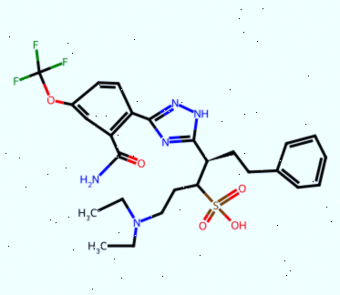 CCN(CC)CCC([C@H](CCc1ccccc1)c1nc(-c2ccc(OC(F)(F)F)cc2C(N)=O)n[nH]1)S(=O)(=O)O